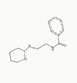 C=C(NCCOC1CCCCO1)c1ccccc1